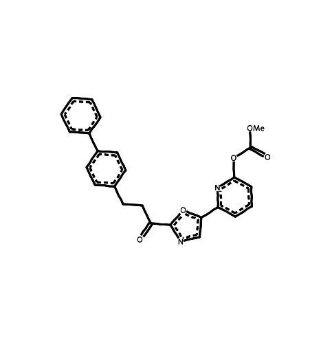 COC(=O)Oc1cccc(-c2cnc(C(=O)CCc3ccc(-c4ccccc4)cc3)o2)n1